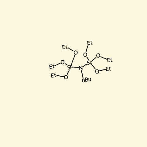 CCCCN([Si](OCC)(OCC)OCC)[Si](OCC)(OCC)OCC